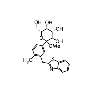 CO[C@@]1(c2ccc(C)c(Cc3nc4ccccc4s3)c2)O[C@H](CO)[C@@H](O)[C@H](O)[C@H]1O